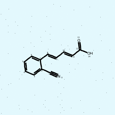 N#Cc1ccccc1C=CC=CC(=O)O